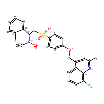 Cc1cc(COc2ccc(S(=O)(=O)CC(c3ccccc3C)N(O)C=O)cc2)c2cccc(F)c2n1